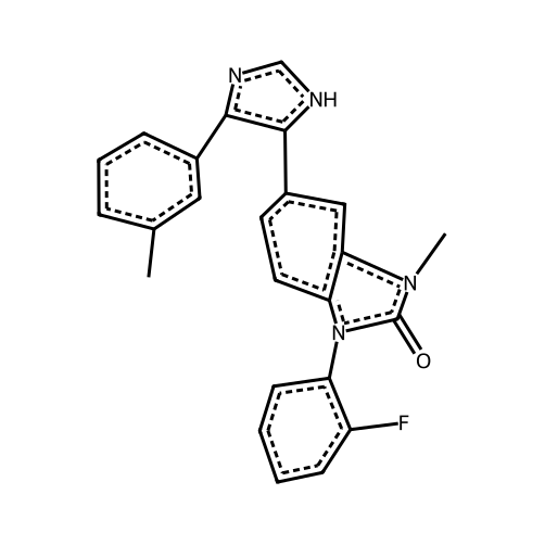 Cc1cccc(-c2nc[nH]c2-c2ccc3c(c2)n(C)c(=O)n3-c2ccccc2F)c1